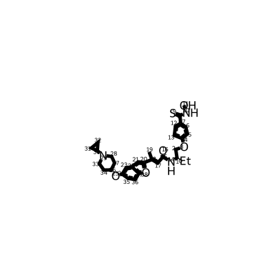 CC[C@@H](COc1ccc(C(=S)NO)cc1)NC(=O)/C=C(\C)c1cc2cc(OC3CCN(C4CC4)CC3)ccc2o1